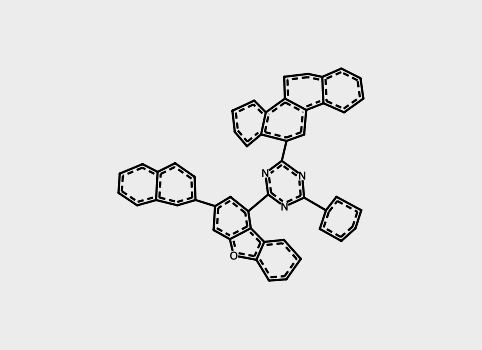 c1ccc(-c2nc(-c3cc4c5ccccc5ccc4c4ccccc34)nc(-c3cc(-c4ccc5ccccc5c4)cc4oc5ccccc5c34)n2)cc1